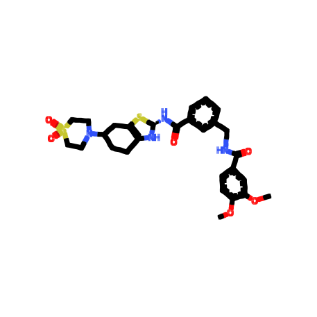 COc1ccc(C(=O)NCc2cccc(C(=O)N[C@@H]3NC4=C(CC(N5CCS(=O)(=O)CC5)CC4)S3)c2)cc1OC